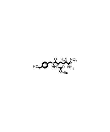 CC(C)(C)OC(=O)NC(CCC(N)/C(N)=N\[N+](=O)[O-])C(=O)NCc1ccc(CO)cc1